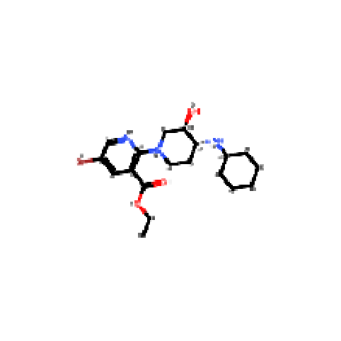 CCOC(=O)c1cc(Br)cnc1N1CC[C@@H](NC2CCCCC2)[C@H](O)C1